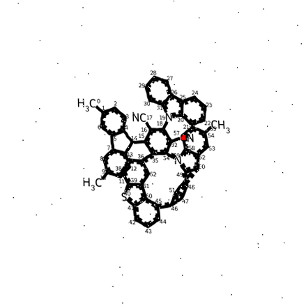 Cc1ccc2c(c1)-c1cc(C)ccc1C2c1c(C#N)c(-n2c3ccccc3c3ccccc32)c(C#N)c2c1c1ccc3sc4cccc(c5ccc6c(c5)c5cc(C)ccc5n62)c4c3c1